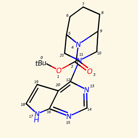 CC(C)(C)OC(=O)N1C2CCCC1CN(c1ncnc3[nH]ccc13)C2